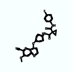 COc1cc2nccc(Oc3ccc(NC(=O)C4(C(=O)Nc5ccc(F)cc5)CC4)cc3)c2nc1C#N